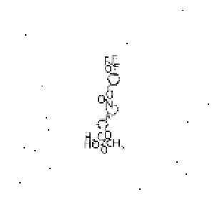 CC(C)(Oc1cccc([C@@H]2CCCN(C(=O)OCc3cccc(OC(F)(F)F)c3)C2)c1)C(=O)O